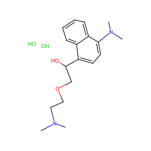 CN(C)CCOCC(O)c1ccc(N(C)C)c2ccccc12.Cl.Cl